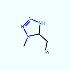 CC(C)CC1NN=NN1C